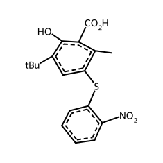 Cc1c(Sc2ccccc2[N+](=O)[O-])cc(C(C)(C)C)c(O)c1C(=O)O